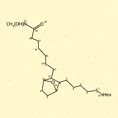 CCCCCCSCCCCC1C2CCC(O2)C1CSCCCCC(=O)N(C)O